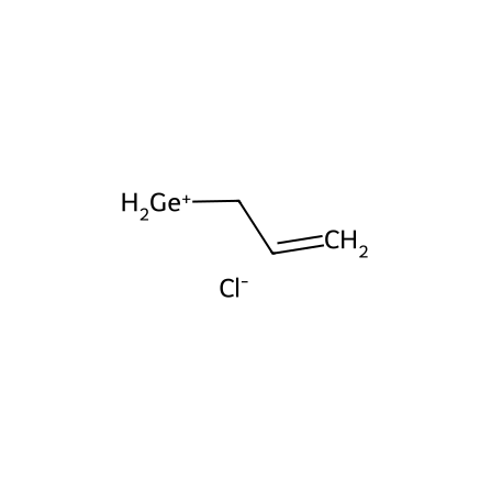 C=C[CH2][GeH2+].[Cl-]